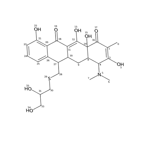 CC1=C(O)C(N(C)C)C2CC3C(=C(O)C2(O)C1=O)C(=O)c1c(O)cccc1C3CSCC(O)CO